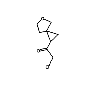 O=C(CCl)C1CC12CCOC2